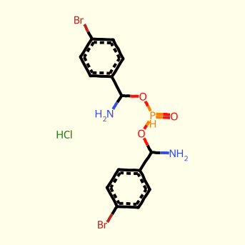 Cl.NC(O[PH](=O)OC(N)c1ccc(Br)cc1)c1ccc(Br)cc1